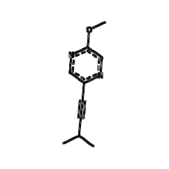 COc1cnc(C#CC(C)C)cn1